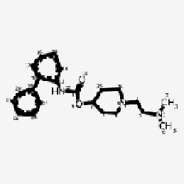 CN(C)CCN1CCC(OC(=O)Nc2ccccc2-c2ccccc2)CC1